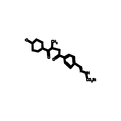 CCOC(=O)NN=Cc1ccc(C(=O)CC(C)C(=O)N2CCC([O])CC2)cc1